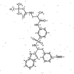 CC(CNC(=O)OC(C)(C)C)C(=O)Nc1cccc(S(=O)(=O)NC(Cc2cccc(C#N)c2)c2nc3ccccc3s2)c1